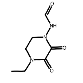 CCN1CCN(NC=O)C(=O)C1=O